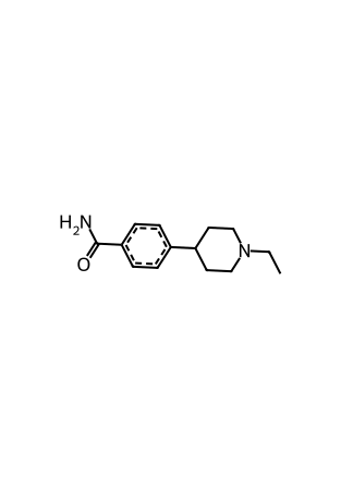 CCN1CCC(c2ccc(C(N)=O)cc2)CC1